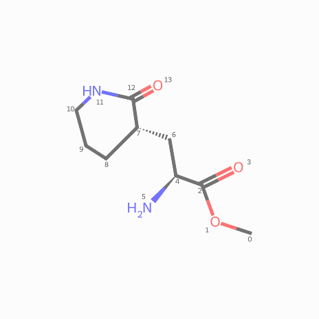 COC(=O)[C@@H](N)C[C@@H]1CCCNC1=O